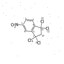 O=[N+]([O-])c1ccc2c(c1)C(Cl)(Cl)CC2(Cl)Cl